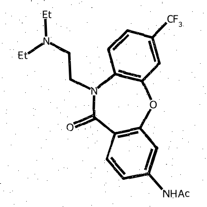 CCN(CC)CCN1C(=O)c2ccc(NC(C)=O)cc2Oc2cc(C(F)(F)F)ccc21